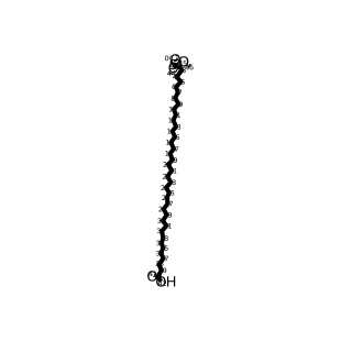 CO[Si](CCCCCCCCCCCCCCCCCCCCCCCCCCCCCCCCCCCCCC(=O)O)(OC)OC